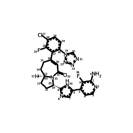 Nc1nccc(-c2cnc([C@@H]3CC[C@H]4CCC(c5c(-n6cnnn6)ccc(Cl)c5F)=CC(=O)N43)[nH]2)c1F